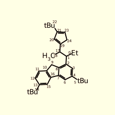 CCC(c1cc(C(C)(C)C)cc2c1Cc1ccc(C(C)(C)C)cc1-2)C(C)C1=CC(C(C)(C)C)=CC1